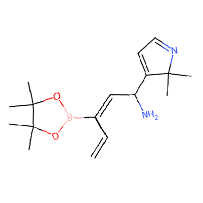 C=C/C(=C\C(N)C1=CC=NC1(C)C)B1OC(C)(C)C(C)(C)O1